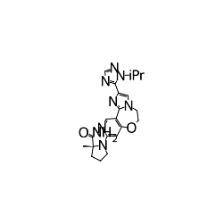 CC(C)n1ncnc1-c1cn2c(n1)-c1cnc(N3CCC[C@]3(C)C(N)=O)cc1OCC2